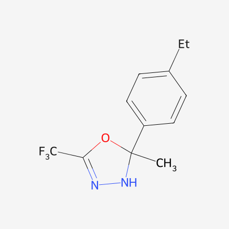 CCc1ccc(C2(C)NN=C(C(F)(F)F)O2)cc1